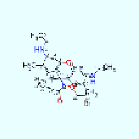 CCNc1cc2c(cc1C)C1(c3cc(C)c(NCC)cc3O2)c2ccccc2C(=O)N1OCCBr